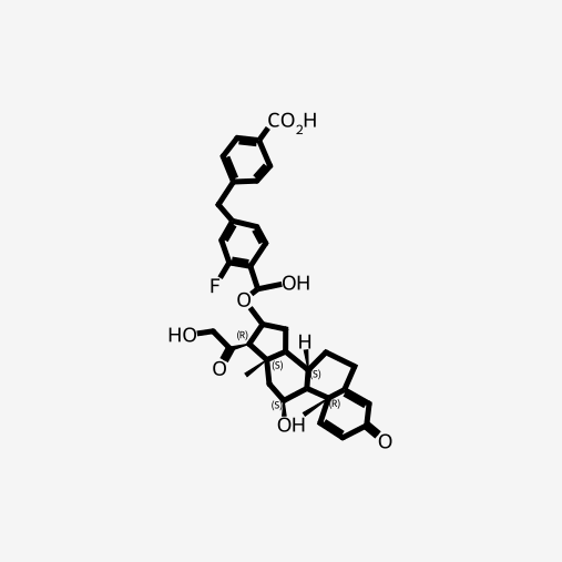 C[C@]12C=CC(=O)C=C1CC[C@@H]1C2[C@@H](O)C[C@@]2(C)C1CC(OC(O)c1ccc(Cc3ccc(C(=O)O)cc3)cc1F)[C@@H]2C(=O)CO